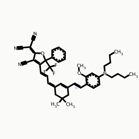 CCCCN(CCCC)c1ccc(/C=C/C2=CC(=CC=CC3=C(C#N)C(=C(C#N)C#N)OC3(c3ccccc3)C(F)(F)F)CC(C)(C)C2)c(OC)c1